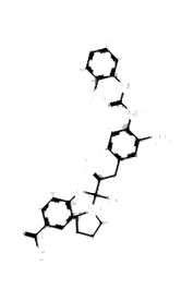 Cc1cc(CC(=O)C(F)(Oc2ccc(C(=O)O)cc2)N2CCCC2)ccc1NC(=O)Nc1ccccc1F